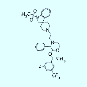 C[C@@H](OC1OCCN(CCN2CCC3(CC2)CN(S(C)(=O)=O)c2ccccc23)C1c1ccccc1)c1cc(F)cc(C(F)(F)F)c1